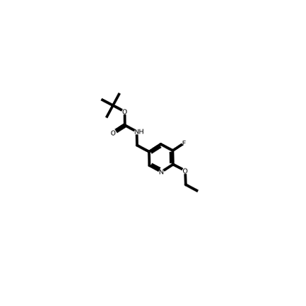 CCOc1ncc(CNC(=O)OC(C)(C)C)cc1F